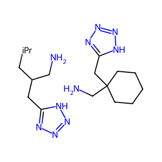 CC(C)CC(CN)Cc1nnn[nH]1.NCC1(Cc2nnn[nH]2)CCCCC1